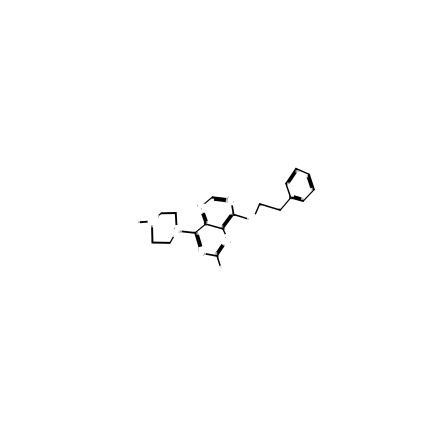 [O-][S+]1CCN(c2nc(Cl)nc3c(OCCc4ccccc4)ncnc23)CC1